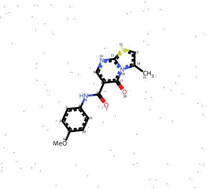 COc1ccc(NC(=O)c2cnc3scc(C)n3c2=O)cc1